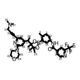 Cc1ccc(NC(=O)c2ccnc(C(F)(F)F)c2)cc1B1OC(C)(C)C(C)(C(C)c2cc(C#CCN(C)C)nc(N3CCOCC3)c2)O1